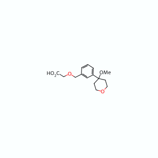 COC1(c2cccc(COCC(=O)O)c2)CCOCC1